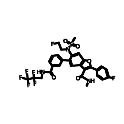 CNC(=O)c1c(-c2ccc(F)cc2)oc2cc(N(CCF)S(C)(=O)=O)c(-c3cccc(C(=O)NCC(F)(F)C(F)(F)F)c3)cc12